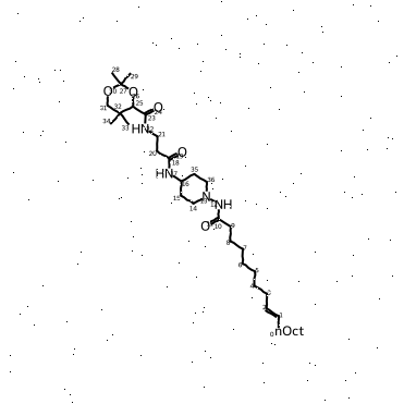 CCCCCCCCC=CCCCCCCCC(=O)NN1CCC(NC(=O)CCNC(=O)C2OC(C)(C)OCC2(C)C)CC1